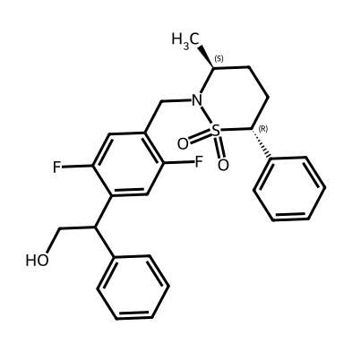 C[C@H]1CC[C@H](c2ccccc2)S(=O)(=O)N1Cc1cc(F)c(C(CO)c2ccccc2)cc1F